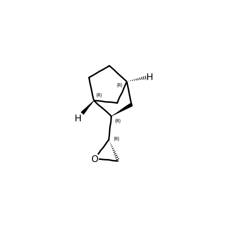 C1C[C@@H]2C[C@@H]1C[C@H]2[C@@H]1CO1